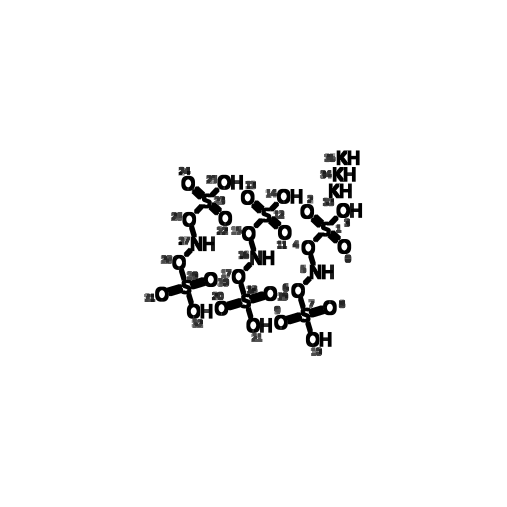 O=S(=O)(O)ONOS(=O)(=O)O.O=S(=O)(O)ONOS(=O)(=O)O.O=S(=O)(O)ONOS(=O)(=O)O.[KH].[KH].[KH]